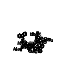 CSCC[C@H](NC(=O)OCC1c2ccccc2-c2ccccc21)C(=O)N[C@@H](CC(=O)OC(C)(C)C)C(=O)NCC(=O)N[C@@H](CSC(c1ccccc1)(c1ccccc1)c1ccccc1)C(=O)N[C@@H](CCC(=O)OC(C)(C)C)C(=O)N[C@@H](CC(C)C)C(=O)OC(C)(C)C